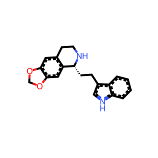 c1ccc2c(CC[C@H]3NCCc4cc5c(cc43)OCO5)c[nH]c2c1